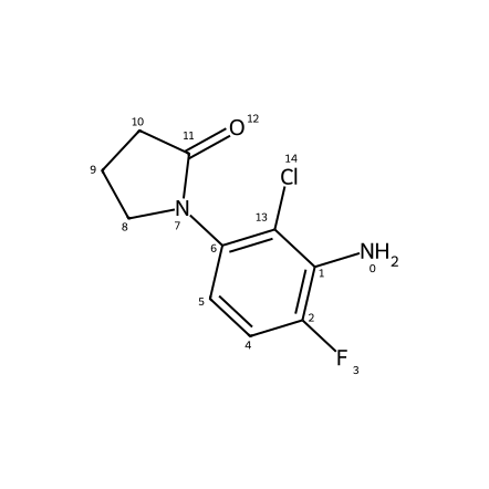 Nc1c(F)ccc(N2CCCC2=O)c1Cl